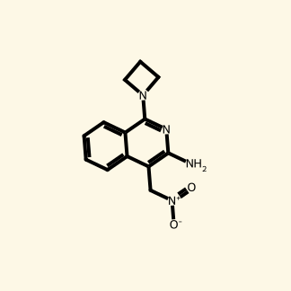 Nc1nc(N2CCC2)c2ccccc2c1C[N+](=O)[O-]